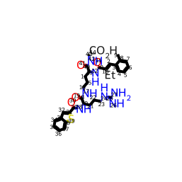 CC/C(=C\c1ccccc1C)C(=O)NC(CCCNC(=O)C(CCCNC(=N)N)NC(=O)c1cc2ccccc2s1)C(=O)NCC(=O)O